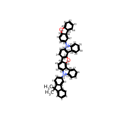 CC1(C)c2ccccc2-c2cc(-n3c4ccccc4c4c5oc6c(ccc7c6c6ccccc6n7-c6ccc7oc8ccccc8c7c6)c5ccc43)ccc21